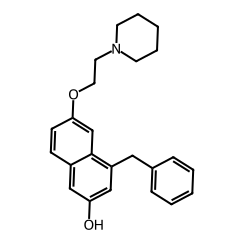 Oc1cc(Cc2ccccc2)c2cc(OCCN3CCCCC3)ccc2c1